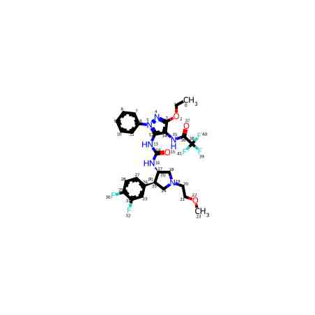 CCOc1nn(-c2ccccc2)c(NC(=O)N[C@@H]2CN(CCOC)C[C@H]2c2ccc(F)c(F)c2)c1NC(=O)C(F)(F)F